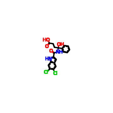 O=C(O)CCC(O)(NC(=O)c1cc2cc(Cl)c(Cl)cc2[nH]1)c1ccccc1